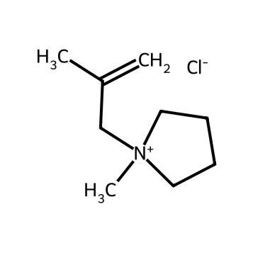 C=C(C)C[N+]1(C)CCCC1.[Cl-]